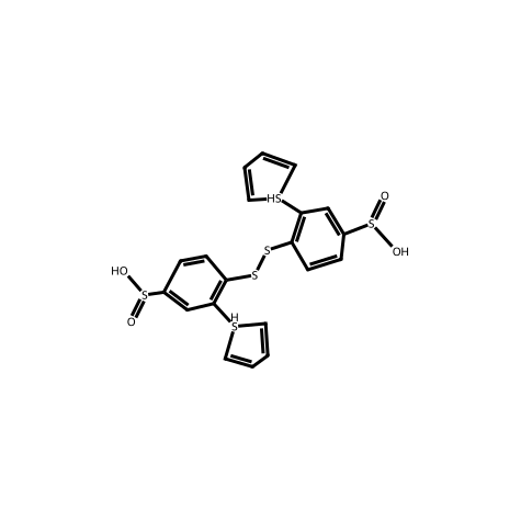 O=S(O)c1ccc(SSc2ccc(S(=O)O)cc2[SH]2C=CC=C2)c([SH]2C=CC=C2)c1